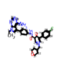 CCn1cc(-c2ccc(NC(=O)c3cn(CC4CCOCC4)cc(-c4ccc(F)cc4)c3=O)cc2)c2c(N)ncnc21